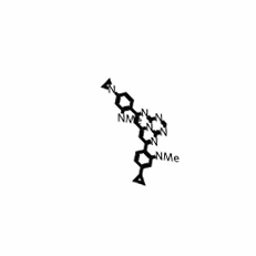 CNc1cc(N2CC2)ccc1C1=CC2=CC(c3ccc(C4CC4)cc3NC)=NC3=NC=NC(=N1)N23